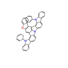 C1=CCC(n2c3ccccc3c3ccc4c(c5cc6oc7ccccc7c6c6c7c8c(ccc7n4c56)c4ccccc4n8-c4ccccc4)c32)C=C1